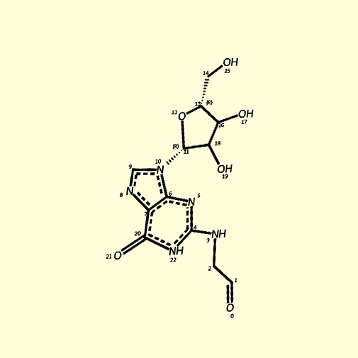 O=CCNc1nc2c(ncn2[C@@H]2O[C@H](CO)C(O)C2O)c(=O)[nH]1